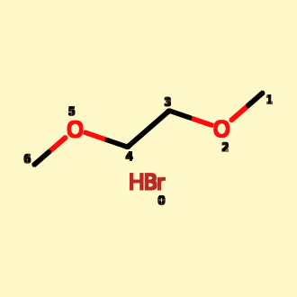 Br.COCCOC